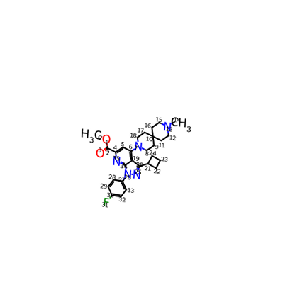 COC(=O)c1cc(N2CCC3(CCN(C)CC3)CC2)c2c(C3CCC3)nn(-c3ccc(F)cc3)c2n1